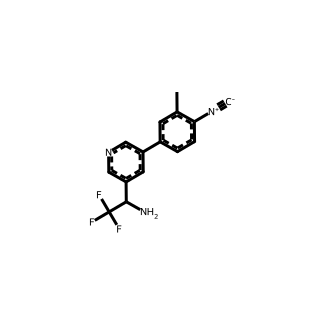 [C-]#[N+]c1ccc(-c2cncc(C(N)C(F)(F)F)c2)cc1C